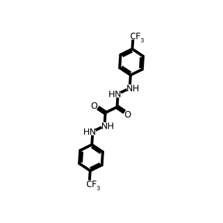 O=C(NNc1ccc(C(F)(F)F)cc1)C(=O)NNc1ccc(C(F)(F)F)cc1